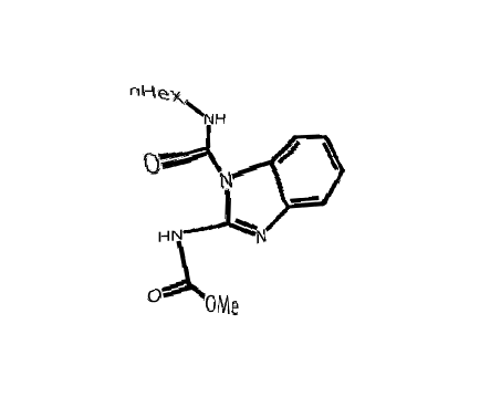 CCCCCCNC(=O)n1c(NC(=O)OC)nc2ccccc21